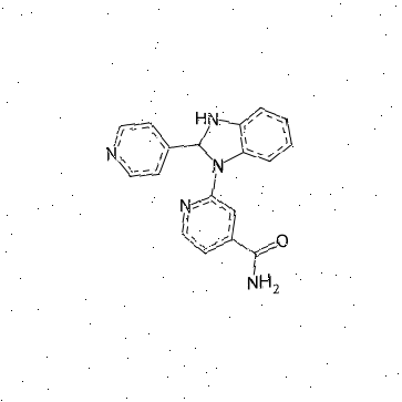 NC(=O)c1ccnc(N2c3ccccc3NC2c2ccncc2)c1